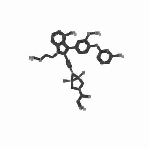 C=CC(=O)N1C[C@@H]2[C@@H](C#Cc3c(-c4ccc(Oc5cccc(C)n5)c(OC)c4)c4c(N)nccc4n3CCOC)[C@@H]2C1